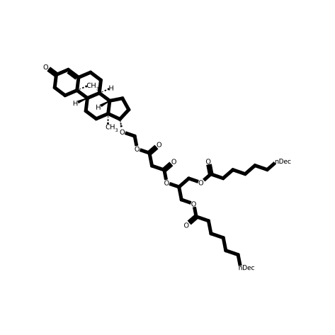 CCCCCCCCCCCCCCCC(=O)OCC(COC(=O)CCCCCCCCCCCCCCC)OC(=O)CC(=O)OCO[C@H]1CC[C@H]2[C@@H]3CCC4=CC(=O)CC[C@]4(C)[C@H]3CC[C@]12C